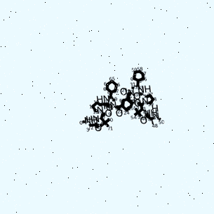 CN[C@@H](C)C(=O)N[C@H](C(=O)N1CCCC1C(=O)N[C@H](CNC(=O)c1cccc(C(=O)NC[C@@H](NC(=O)[C@@H]2CCCN2C(=O)[C@@H](NC(=O)[C@H](C)NC)C(C)(C)C)C2CCCCC2)c1)C1CCCCC1)C(C)(C)C